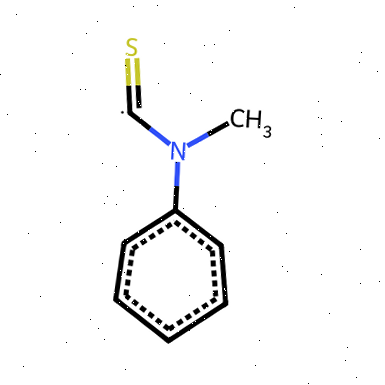 CN([C]=S)c1ccccc1